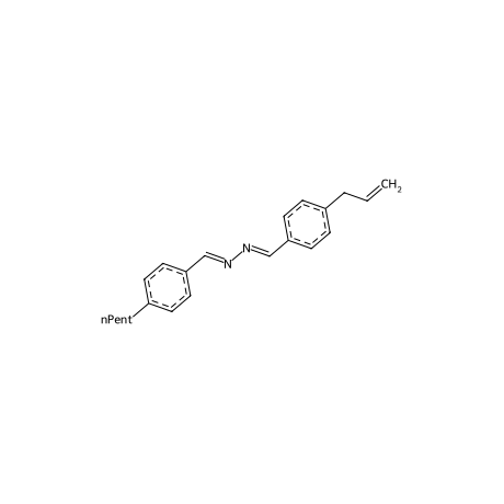 C=CCc1ccc(C=NN=Cc2ccc(CCCCC)cc2)cc1